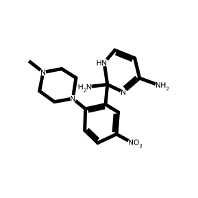 CN1CCN(c2ccc([N+](=O)[O-])cc2C2(N)N=C(N)C=CN2)CC1